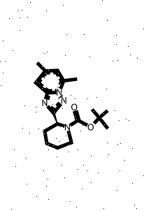 Cc1cc(C)n2nc([C@@H]3CCCCN3C(=O)OC(C)(C)C)nc2c1